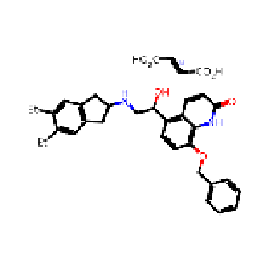 CCc1cc2c(cc1CC)CC(NCC(O)c1ccc(OCc3ccccc3)c3[nH]c(=O)ccc13)C2.O=C(O)/C=C/C(=O)O